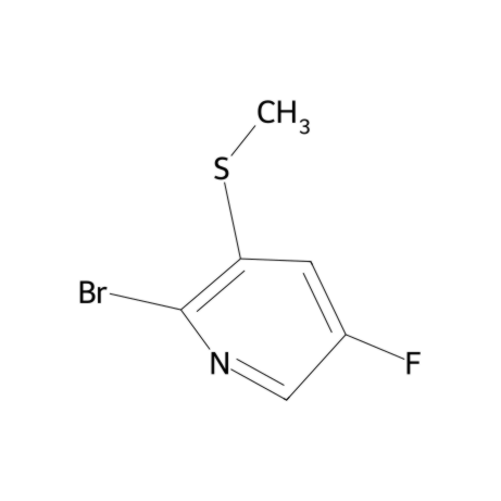 CSc1cc(F)cnc1Br